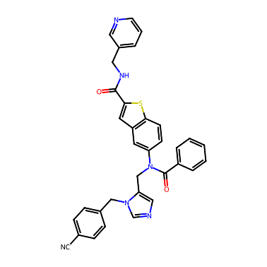 N#Cc1ccc(Cn2cncc2CN(C(=O)c2ccccc2)c2ccc3sc(C(=O)NCc4cccnc4)cc3c2)cc1